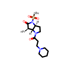 CCCCS(=O)(=O)N1C(=O)[C@H](CCC)[C@@H]2[C@@H]1CCN2C(=O)CCN1CCCCC1